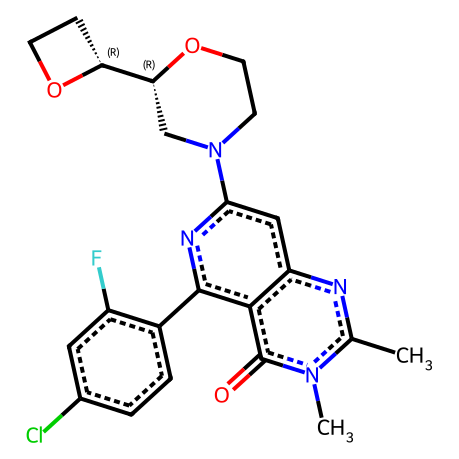 Cc1nc2cc(N3CCO[C@@H]([C@H]4CCO4)C3)nc(-c3ccc(Cl)cc3F)c2c(=O)n1C